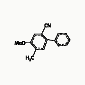 COc1cc(C#N)c(-c2ccccc2)cc1C